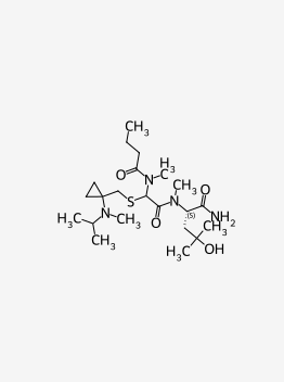 CCCC(=O)N(C)C(SCC1(N(C)C(C)C)CC1)C(=O)N(C)[C@@H](CC(C)(C)O)C(N)=O